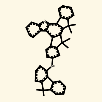 CC1(C)c2ccccc2-c2c(Nc3ccc4c(c3)C(C)(C)c3c5c(c6oc7ccccc7c6c3-4)-c3ccccc3C5(C)C)cccc21